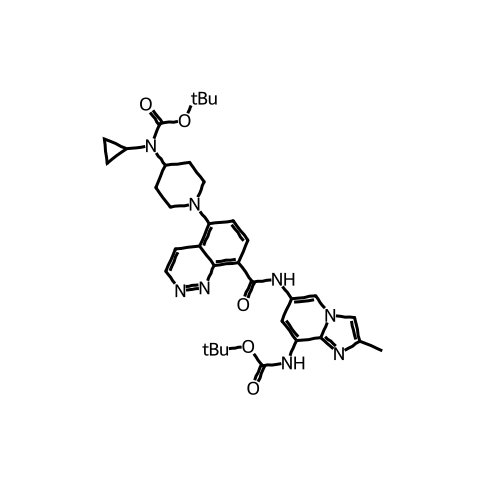 Cc1cn2cc(NC(=O)c3ccc(N4CCC(N(C(=O)OC(C)(C)C)C5CC5)CC4)c4ccnnc34)cc(NC(=O)OC(C)(C)C)c2n1